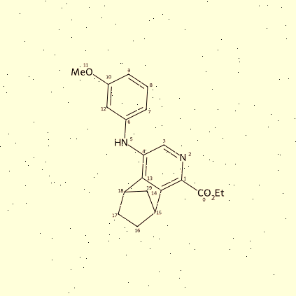 CCOC(=O)c1ncc(Nc2cccc(OC)c2)c2c1C1CCC2C1